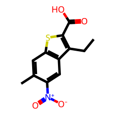 CCc1c(C(=O)O)sc2cc(C)c([N+](=O)[O-])cc12